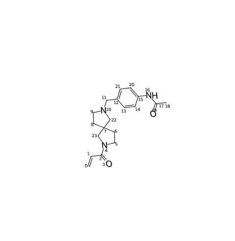 C=CC(=O)N1CCC2(CCN(Cc3ccc(NC(C)=O)cc3)C2)C1